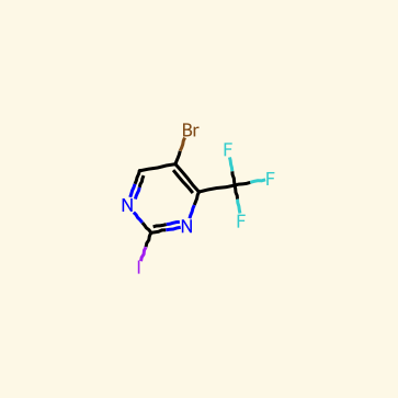 FC(F)(F)c1nc(I)ncc1Br